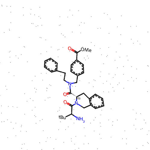 COC(=O)c1ccc(CN(CCc2ccccc2)C(=O)[C@@H]2Cc3ccccc3CN2C(=O)C(N)C(C)(C)C)cc1